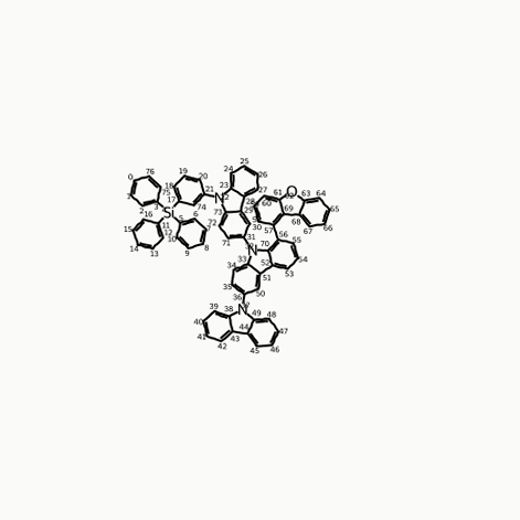 c1ccc([Si](c2ccccc2)(c2ccccc2)c2cccc(-n3c4ccccc4c4cc(-n5c6ccc(-n7c8ccccc8c8ccccc87)cc6c6cccc(-c7cccc8oc9ccccc9c78)c65)ccc43)c2)cc1